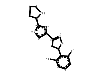 Fc1cccc(F)c1C1CC(c2csc(C3CCCN3)n2)=NO1